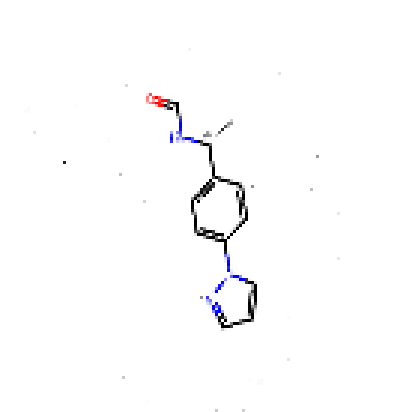 C[C@@H](NC=O)c1ccc(-n2cccn2)cc1